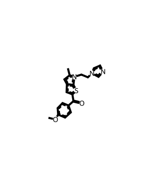 COc1ccc(C(=O)c2cc3cc(C)n(CCn4ccnc4)c3s2)cc1